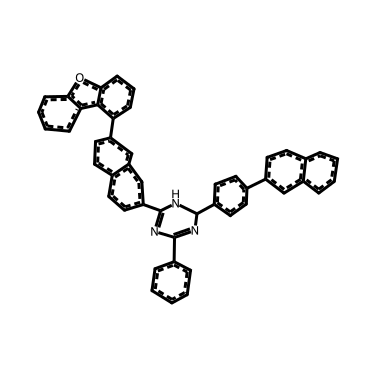 c1ccc(C2=NC(c3ccc(-c4ccc5ccccc5c4)cc3)NC(c3ccc4ccc(-c5cccc6oc7ccccc7c56)cc4c3)=N2)cc1